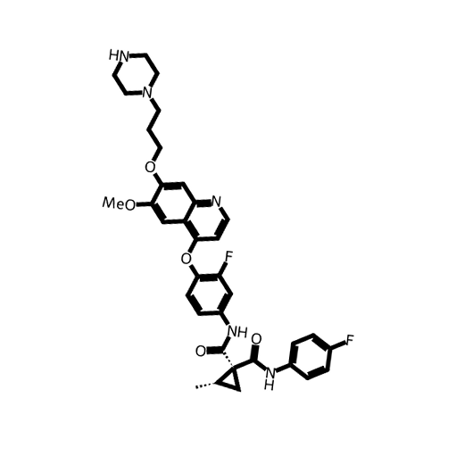 COc1cc2c(Oc3ccc(NC(=O)[C@]4(C(=O)Nc5ccc(F)cc5)C[C@@H]4C)cc3F)ccnc2cc1OCCCN1CCNCC1